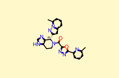 Cc1cccc(-c2nnc(C(=O)N3CCc4[nH]cnc4[C@@H]3c3cc4cccc(C)n4n3)o2)n1